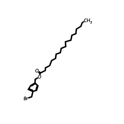 CCCCCCCCCCCCCCCCCC(=O)OCc1ccc(CBr)cc1